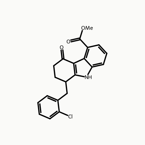 COC(=O)c1cccc2[nH]c3c(c12)C(=O)CCC3Cc1ccccc1Cl